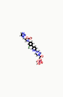 COP(=O)(OC)OCC(=O)N1CCN(c2ccc(-c3ccc(N4C[C@H](Cn5ccnn5)OC4=O)cc3F)cn2)C=N1